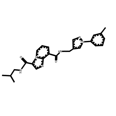 Cc1cccc(-n2cc(CNC(=O)c3cccn4c(C(=O)NCC(C)C)cnc34)cn2)c1